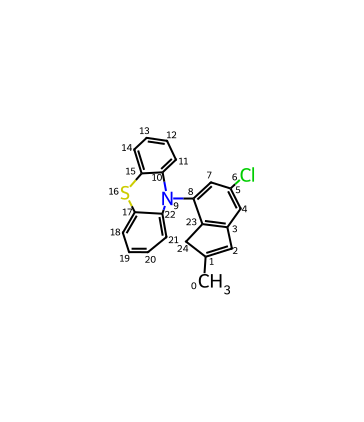 CC1=Cc2cc(Cl)cc(N3c4ccccc4Sc4ccccc43)c2C1